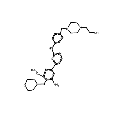 COc1cc(-c2ccnc(Nc3ccc(CN4CCN(CCO)CC4)cc3)n2)cc(N)c1OC1CCOCC1